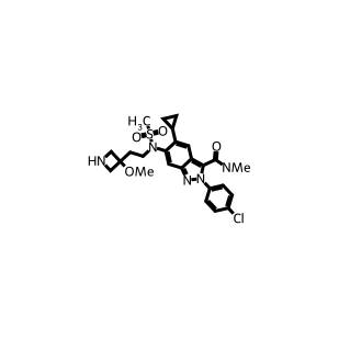 CNC(=O)c1c2cc(C3CC3)c(N(CCC3(OC)CNC3)S(C)(=O)=O)cc2nn1-c1ccc(Cl)cc1